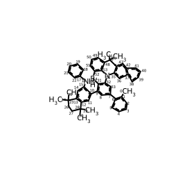 Cc1ccccc1-c1cc(-c2cc3c(cc2Nc2ccccc2)C(C)(C)CCC3(C)C)c2c(c1)N1c3cc4ccccc4cc3C(C)(C)c3cccc(c31)B2